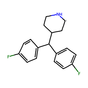 Fc1ccc(C(c2ccc(F)cc2)C2C[C]NCC2)cc1